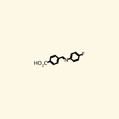 O=C(O)c1ccc(C=Nc2ccc(F)cc2)cc1